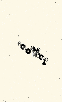 CN(C)C1CCN(c2cccc(-n3ncc4c(=O)n(CC5(O)CCN(C(=O)C6CC6)CC5)cnc43)c2)CC1